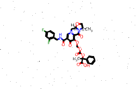 C[C@H]1CO[C@@H]2Cn3cc(C(=O)NCc4ccc(F)cc4F)c(=O)c(OCOC(=O)OC(C)(C(=O)O)c4ccccc4)c3C(=O)N12